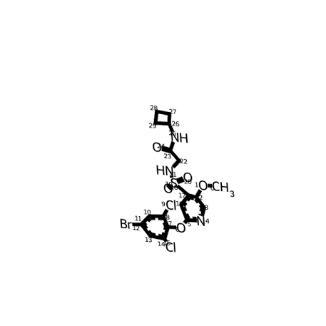 COc1cnc(Oc2c(Cl)cc(Br)cc2Cl)cc1S(=O)(=O)NCC(=O)NC1CCC1